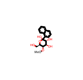 COO[C@@H]1[C@H](O)[C@@H](O)[C@@](O)(c2cccc3ccccc23)O[C@@H]1CO